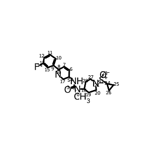 CN(C(=O)NC1C=CC(c2cccc(F)c2)=NC1)C1CCN([S+]([O-])C2CC2)CC1